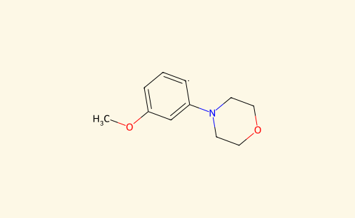 COc1cc[c]c(N2CCOCC2)c1